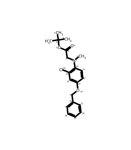 CN(CC(=O)OC(C)(C)C)c1ccc(OCc2ccccc2)cc1Cl